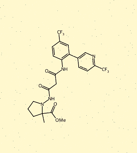 COC(=O)C1(C)CCCN1NC(=O)CC(=O)Nc1ccc(C(F)(F)F)cc1-c1ccc(C(F)(F)F)nc1